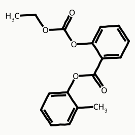 CCOC(=O)Oc1ccccc1C(=O)Oc1ccccc1C